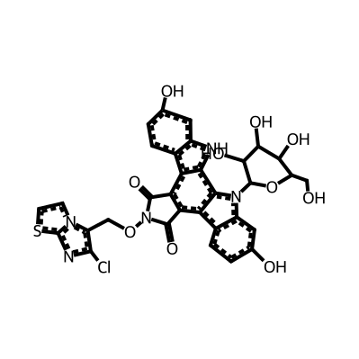 O=C1c2c(c3c4ccc(O)cc4n(C4OC(CO)C(O)C(O)C4O)c3c3[nH]c4cc(O)ccc4c23)C(=O)N1OCc1c(Cl)nc2sccn12